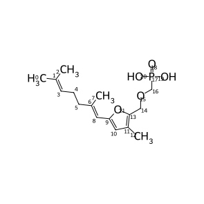 CC(C)=CCC/C(C)=C/c1cc(C)c(COCP(=O)(O)O)o1